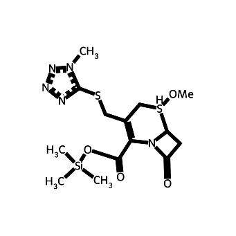 CO[SH]1CC(CSc2nnnn2C)=C(C(=O)O[Si](C)(C)C)N2C(=O)CC21